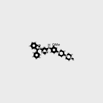 COc1cc(N2CCC(N3CCN(C)CC3)CC2)ccc1Nc1cc(N2Oc3ccccc3C2c2ccccc2)ncn1